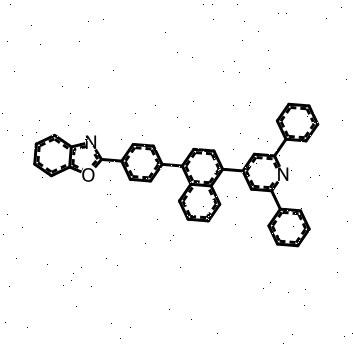 c1ccc(-c2cc(-c3ccc(-c4ccc(-c5nc6ccccc6o5)cc4)c4ccccc34)cc(-c3ccccc3)n2)cc1